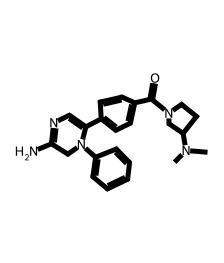 CN(C)C1CCN(C(=O)c2ccc(C3=CN=C(N)CN3c3ccccc3)cc2)C1